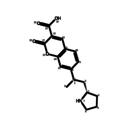 CN(C[C@@H]1CCCN1)c1ccc2cc(C(=O)O)c(=O)oc2c1